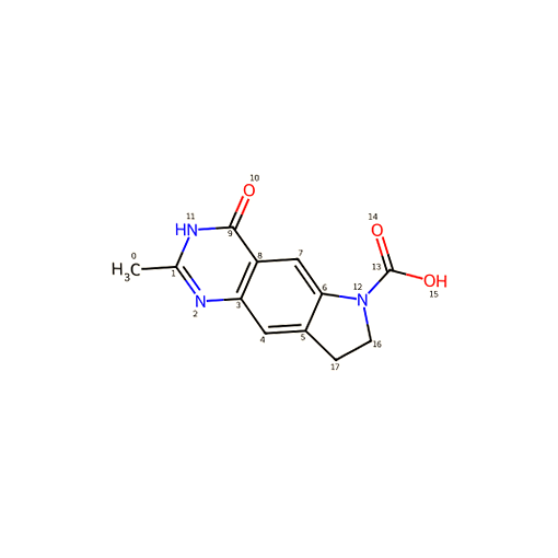 Cc1nc2cc3c(cc2c(=O)[nH]1)N(C(=O)O)CC3